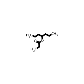 CCCC(CCC)OC(=O)CC